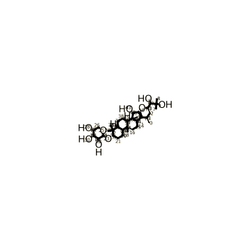 C[C@@H]1C[C@H]([C@@H](O)C(C)(C)O)OC2=C1[C@@]1(C)CC[C@@]34C[C@@]35CC[C@H](O[C@@H]3OC[C@@H](O)[C@H](O)[C@H]3O)C(C)(C)[C@@H]5CC[C@H]4[C@]1(C)[C@H]2O